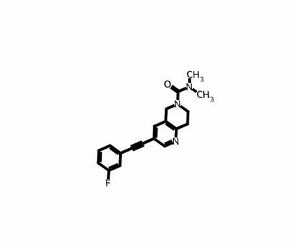 CN(C)C(=O)N1CCc2ncc(C#Cc3cccc(F)c3)cc2C1